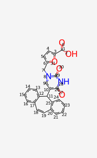 O=C(O)c1ccc(Cn2cc(C3c4ccccc4C=Cc4ccccc43)c(=O)[nH]c2=O)o1